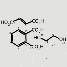 O=C(O)C=CC(=O)O.O=C(O)c1ccccc1C(=O)O.OCCO